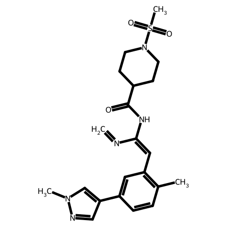 C=N/C(=C\c1cc(-c2cnn(C)c2)ccc1C)NC(=O)C1CCN(S(C)(=O)=O)CC1